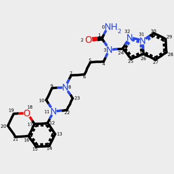 NC(=O)N(CCCCN1CCN(c2cccc3c2OCCC3)CC1)c1cc2ccccn2n1